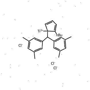 CCCCC1=CC=C[C]1([Ti+3])C(c1cc(C)cc(C)c1)c1cc(C)cc(C)c1.[Cl-].[Cl-].[Cl-]